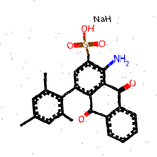 Cc1cc(C)c(-c2cc(S(=O)(=O)O)c(N)c3c2C(=O)c2ccccc2C3=O)c(C)c1.[NaH]